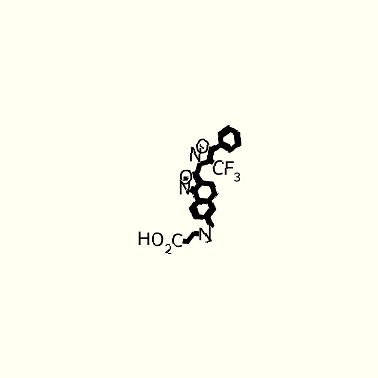 CN(CCC(=O)O)Cc1ccc2c(c1)CCc1c-2noc1-c1noc(-c2ccccc2)c1C(F)(F)F